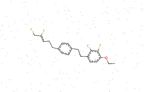 CCOc1ccc(CCc2ccc(CCC=C(F)CF)cc2)c(F)c1F